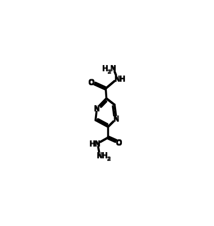 NNC(=O)c1cnc(C(=O)NN)cn1